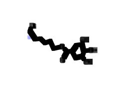 CC/C=C\CCCCOC(=O)c1cc(O)c(O)c(O)c1